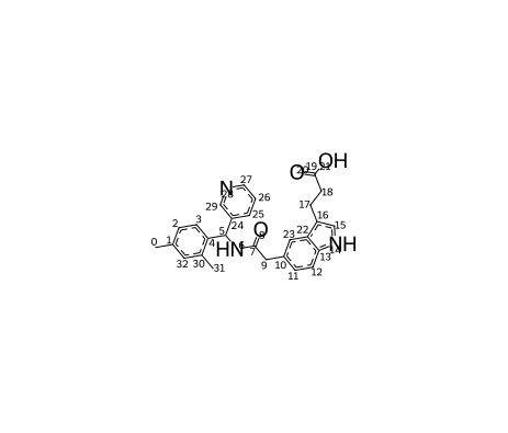 Cc1ccc(C(NC(=O)Cc2ccc3[nH]cc(CCC(=O)O)c3c2)c2cccnc2)c(C)c1